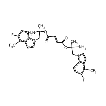 C[C@@](N)(Cn1ccc2c(C(F)(F)F)c(F)ccc21)OC(=O)/C=C/C(=O)O[C@](C)(N)Cn1ccc2c(C(F)(F)F)c(F)ccc21